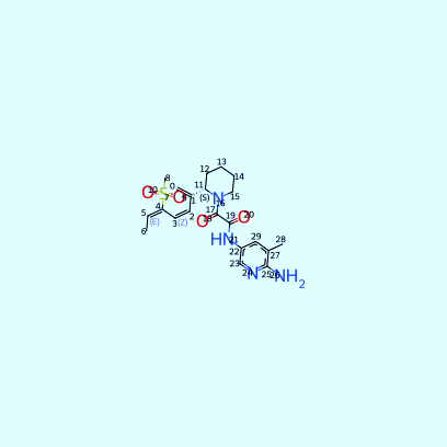 C=C(/C=C\C(=C/C)S(C)(=O)=O)[C@@H]1CCCCN1C(=O)C(=O)Nc1cnc(N)c(C)c1